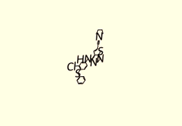 Clc1cc(Nc2ncnc3sc(C#CN4CCCC4)cc23)ccc1Sc1ccccc1